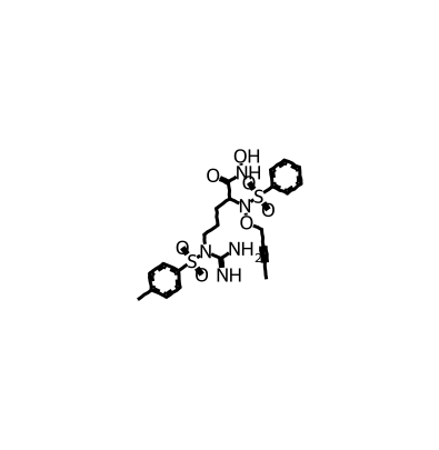 CC#CCON(C(CCCN(C(=N)N)S(=O)(=O)c1ccc(C)cc1)C(=O)NO)S(=O)(=O)c1ccccc1